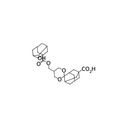 O=C(O)C12CC3CC(C1)C1(OCC(COC(=O)C45CC6CC(C4)C(O)C(C6)C5)CO1)C(C3)C2